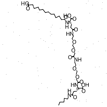 CCCCCNC(=O)CC[C@H](NC(=O)COCCOCCNC(=O)COCCOCCNC(=O)CC[C@H](NC(=O)CCCCCCCCCCCCC(=O)O)C(=O)O)C(=O)O